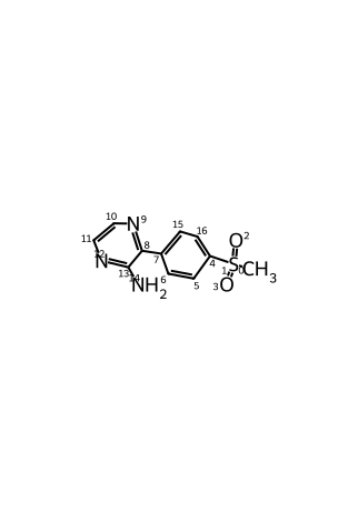 CS(=O)(=O)c1ccc(-c2nccnc2N)cc1